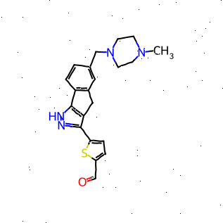 CN1CCN(Cc2ccc3c(c2)Cc2c(-c4ccc(C=O)s4)n[nH]c2-3)CC1